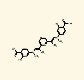 N/C(=C\N(N)c1ccc(C(=O)O)c(O)c1)c1cncc(/C(N)=C/N(N)c2ccc(C(=O)O)c(O)c2)n1